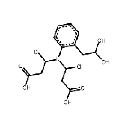 O=C(O)CC(Cl)N(c1ccccc1CC(O)O)C(Cl)CC(=O)O